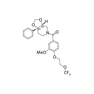 COc1cc(C(=O)N2CC[C@]3(c4ccccc4)OCO[C@@H]3C2)ccc1OCCOC(F)(F)F